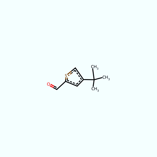 CC(C)(C)c1csc(C=O)c1